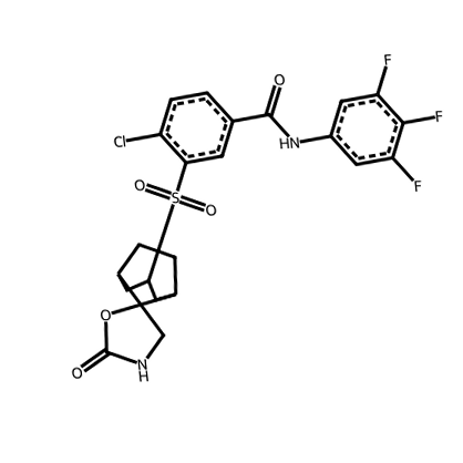 O=C1NCC2(O1)C1CCC2CC(S(=O)(=O)c2cc(C(=O)Nc3cc(F)c(F)c(F)c3)ccc2Cl)C1